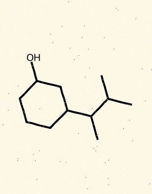 CC(C)C(C)C1CCCC(O)C1